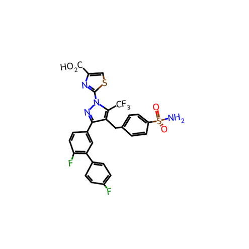 NS(=O)(=O)c1ccc(Cc2c(-c3ccc(F)c(-c4ccc(F)cc4)c3)nn(-c3nc(C(=O)O)cs3)c2C(F)(F)F)cc1